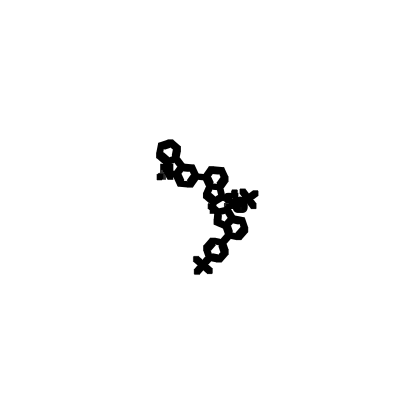 CC1=Cc2c(-c3ccc(C(C)(C)C)cc3)cccc2C1[Si](C)(OC(C)(C)C)C1C(C)=Cc2c(-c3ccc4c(c3)c3ccccc3n4C)cccc21